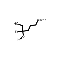 CCCCCCCCCCC(CC)(CO)OCC